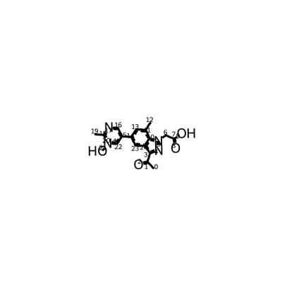 CC(=O)c1nn(CC(=O)O)c2c(C)cc(-c3cnc(C)[n+](O)c3)cc12